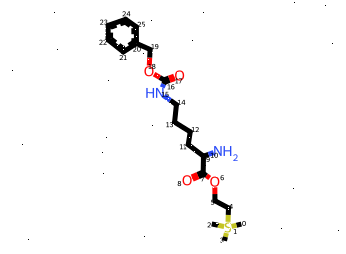 CS(C)(C)CCOC(=O)C(N)CCCCNC(=O)OCc1ccccc1